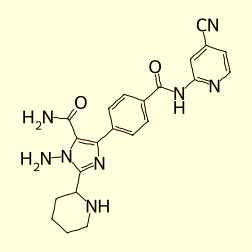 N#Cc1ccnc(NC(=O)c2ccc(-c3nc(C4CCCCN4)n(N)c3C(N)=O)cc2)c1